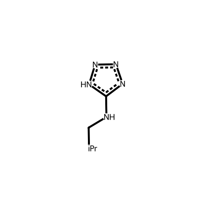 CC(C)CNc1nnn[nH]1